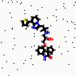 CC(C)(Cc1cnc2c(-c3cccs3)cccn12)NC[C@H](O)COc1cccc2c1C1(CCCC1)C(=O)N2